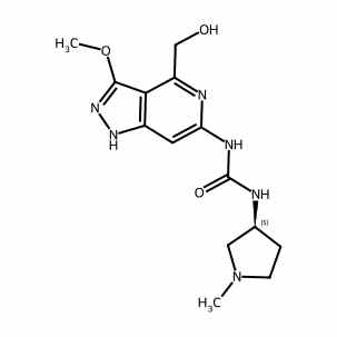 COc1n[nH]c2cc(NC(=O)N[C@H]3CCN(C)C3)nc(CO)c12